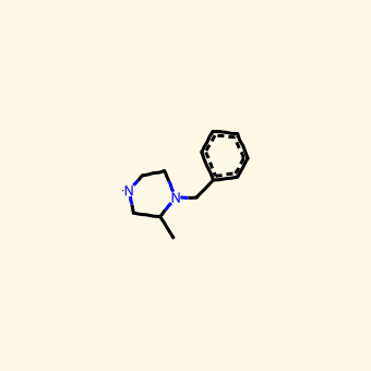 CC1C[N]CCN1Cc1ccccc1